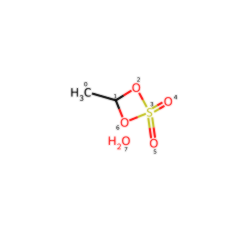 CC1OS(=O)(=O)O1.O